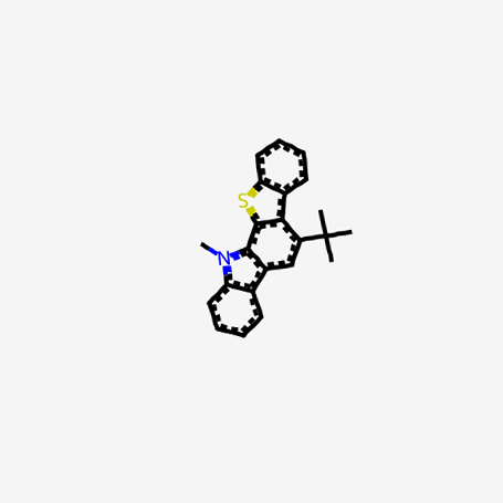 Cn1c2ccccc2c2cc(C(C)(C)C)c3c4ccccc4sc3c21